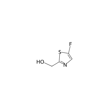 OCc1ncc(F)s1